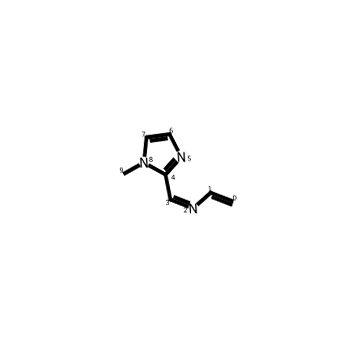 C=C/N=C\c1nccn1C